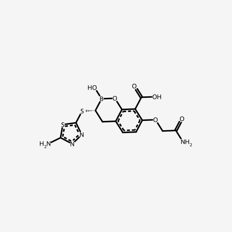 NC(=O)COc1ccc2c(c1C(=O)O)OB(O)[C@@H](Sc1nnc(N)s1)C2